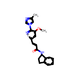 COc1cc(C=CC(=O)NC2CCc3ccccc32)cnc1-n1cnc(C)c1